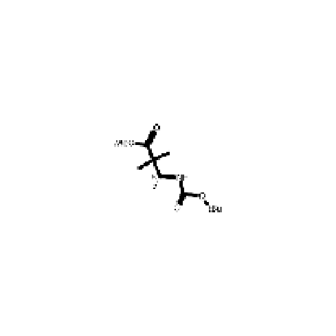 COC(=O)C(C)(C)[C@@H](C)NC(=O)OC(C)(C)C